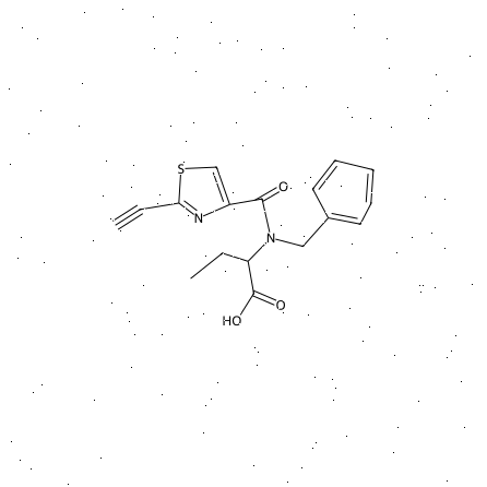 C#Cc1nc(C(=O)N(Cc2ccccc2)C(CC)C(=O)O)cs1